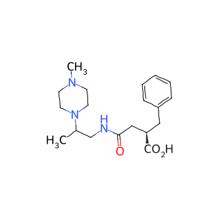 CC(CNC(=O)C[C@@H](Cc1ccccc1)C(=O)O)N1CCN(C)CC1